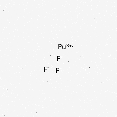 [F-].[F-].[F-].[Pu+3]